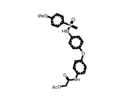 C=S(=O)(Nc1ccc(Oc2ccc(NC(=O)COC(C)=O)cc2)cc1)c1ccc(OC)cc1